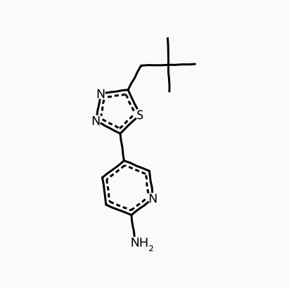 CC(C)(C)Cc1nnc(-c2ccc(N)nc2)s1